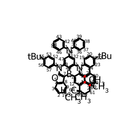 Cc1ccc2oc3c(c2c1)B1c2cc4c(cc2N(c2ccc(C(C)(C)C)cc2-c2ccccc2)c2cc(N(c5ccccc5)c5ccccc5)cc(c21)N3c1ccc(C(C)(C)C)cc1)C(C)(C)CCC4(C)C